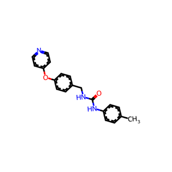 Cc1ccc(NC(=O)NCc2ccc(Oc3ccncc3)cc2)cc1